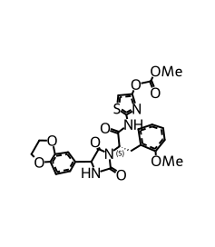 COC(=O)Oc1csc(NC(=O)[C@H](Cc2ccccc2OC)N2C(=O)NC(c3ccc4c(c3)OCCO4)C2=O)n1